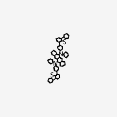 c1ccc(N(c2ccc(-c3cccc4c3sc3ccccc34)cc2)c2c3ccccc3cc3c(N(c4ccccc4)c4ccc(-c5cccc6c5sc5ccccc56)cc4)c4ccccc4cc23)cc1